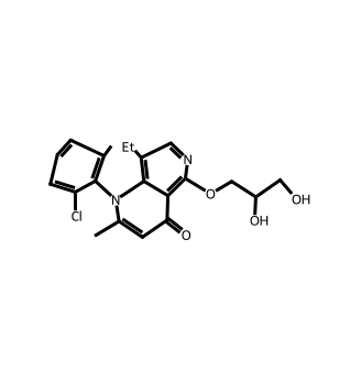 CCc1cnc(OCC(O)CO)c2c(=O)cc(C)n(-c3c(C)cccc3Cl)c12